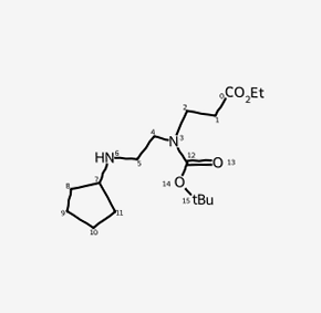 CCOC(=O)CCN(CCNC1CCCC1)C(=O)OC(C)(C)C